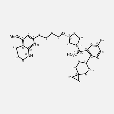 COc1cc(CCCCO[C@@H]2CCN([C@H](C(=O)O)c3cc(F)ccc3C3CCC4(CC4)CO3)C2)nc2c1CCCN2